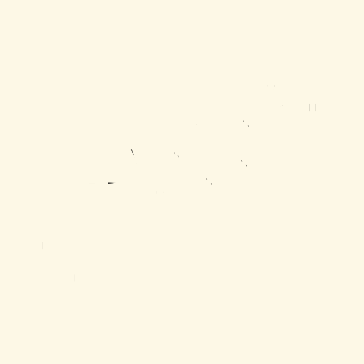 CC(=O)CNc1ncnc2c1ccn2[C@@H]1O[C@H]([C@H](O)c2ccc(F)c(F)c2)[C@@H](O)[C@H]1O.Cl